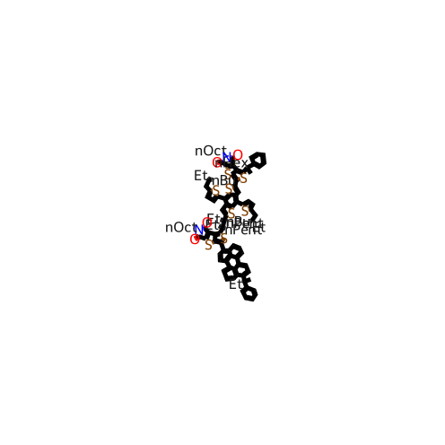 CCCCCCCCN1C(=O)c2sc3c(-c4cc5c(-c6ccc(CC(CC)CCCC)s6)c6sc(C(CC)(CCCCC)C(CC)(CCCCC)c7sc(-c8ccc9c%10cccc%11c(C(C)(CC)c%12ccccc%12)ccc(c%12cccc8c9%12)c%11%10)c8sc9c(c78)C(=O)N(CCCCCCCC)C9=O)cc6c(-c6ccc(CC(CC)CCCC)s6)c5s4)sc(C(C)(CCCCCC)c4ccccc4)c3c2C1=O